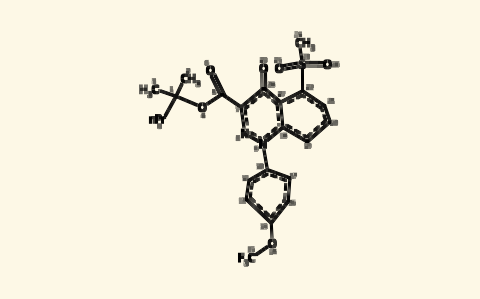 CCCC(C)(C)OC(=O)c1nn(-c2ccc(OC(F)(F)F)cc2)c2cccc(S(C)(=O)=O)c2c1=O